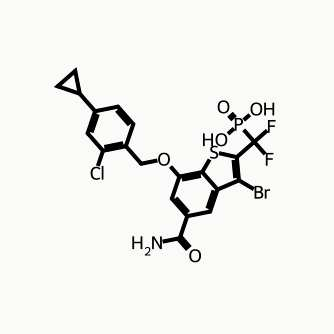 NC(=O)c1cc(OCc2ccc(C3CC3)cc2Cl)c2sc(C(F)(F)P(=O)(O)O)c(Br)c2c1